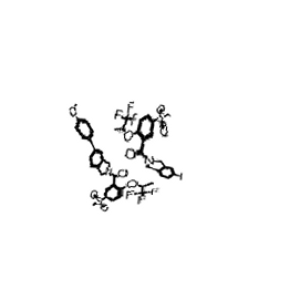 COc1ccc(-c2ccc3c(c2)CN(C(=O)c2cc(S(C)(=O)=O)ccc2OC(C)C(F)(F)F)C3)cc1.C[C@H](Oc1ccc(S(C)(=O)=O)cc1C(=O)N1Cc2ccc(I)cc2C1)C(F)(F)F